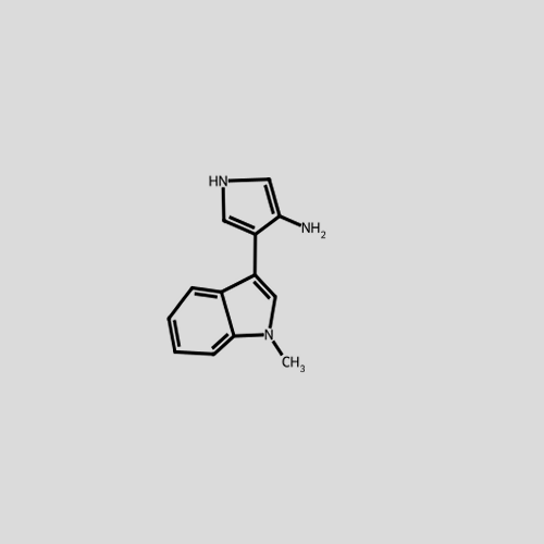 Cn1cc(-c2c[nH]cc2N)c2ccccc21